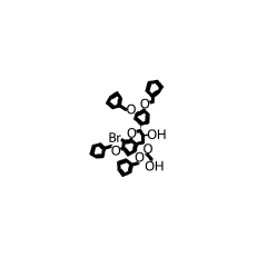 OCCO[C@H]1c2c(OCc3ccccc3)cc(OCc3ccccc3)c(Br)c2O[C@H](c2ccc(OCc3ccccc3)c(OCc3ccccc3)c2)[C@H]1O